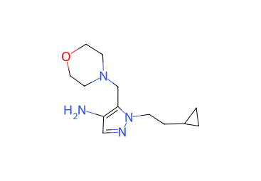 Nc1cnn(CCC2CC2)c1CN1CCOCC1